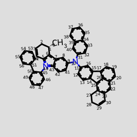 C[C@H]1CC=Cc2c1c1cc(N(c3ccc4c(c3)-c3cccc5cc6c(c-4c35)CCC=C6)c3ccc4ccccc4c3)ccc1n2-c1ccccc1-c1ccccc1